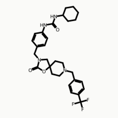 O=C(Nc1ccc(CN2CC3(CCN(Cc4ccc(C(F)(F)F)cc4)CC3)OC2=O)cc1)NC1CCCCC1